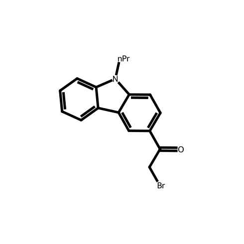 CCCn1c2ccccc2c2cc(C(=O)CBr)ccc21